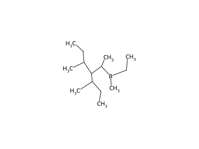 CCB(C)C(C)C(C(C)CC)C(C)CC